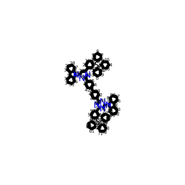 c1ccc([Si](c2ccccc2)(c2ccccc2)c2cccc(-c3cc(-n4c5ccccc5c5ccccc54)nc(-c4ccc(-c5ccc(-c6nc(-c7cccc([Si](c8ccccc8)(c8ccccc8)c8ccccc8)c7)nc(-n7c8ccccc8c8ccccc87)n6)cc5)cc4)n3)c2)cc1